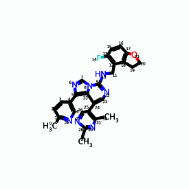 Cc1ccc(-c2ncn3c(NCc4c(F)ccc5c4CCO5)ncc(-c4cnc(C)nc4C)c23)cn1